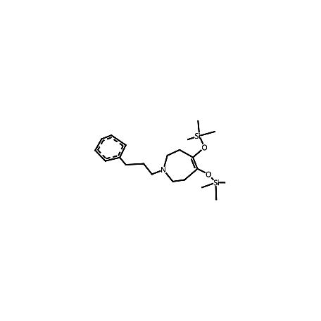 C[Si](C)(C)OC1=C(O[Si](C)(C)C)CCN(CCCc2ccccc2)CC1